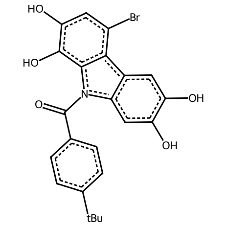 CC(C)(C)c1ccc(C(=O)n2c3cc(O)c(O)cc3c3c(Br)cc(O)c(O)c32)cc1